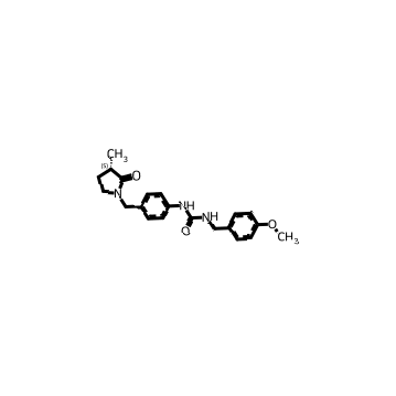 COc1ccc(CNC(=O)Nc2ccc(CN3CC[C@H](C)C3=O)cc2)cc1